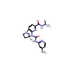 C[C@@H](NC(=O)c1ccc2c(n1)N(C(=O)Nc1cc([N+](=O)[O-])ccn1)[C@H]1CCN2C1)C(F)(F)F